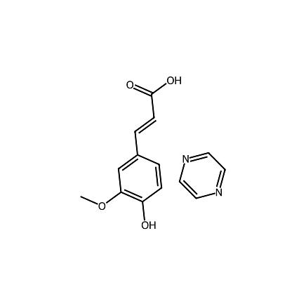 COc1cc(C=CC(=O)O)ccc1O.c1cnccn1